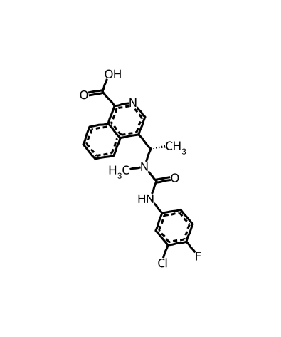 C[C@@H](c1cnc(C(=O)O)c2ccccc12)N(C)C(=O)Nc1ccc(F)c(Cl)c1